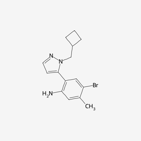 Cc1cc(N)c(-c2ccnn2CC2CCC2)cc1Br